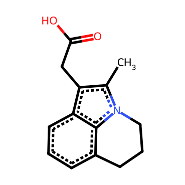 Cc1c(CC(=O)O)c2cccc3c2n1CCC3